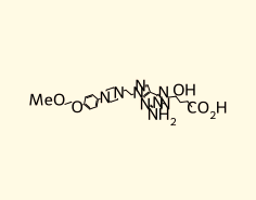 COCCOc1ccc(N2CCN(CCn3ncc4c3nc(N)n3nc([C@@H](O)CCC(=O)O)nc43)CC2)cc1